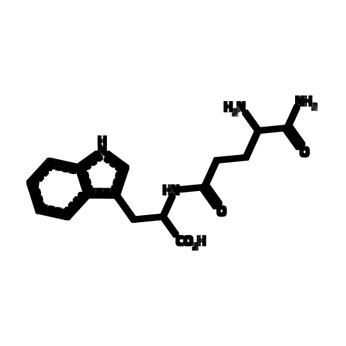 NC(=O)C(N)CCC(=O)NC(Cc1c[nH]c2ccccc12)C(=O)O